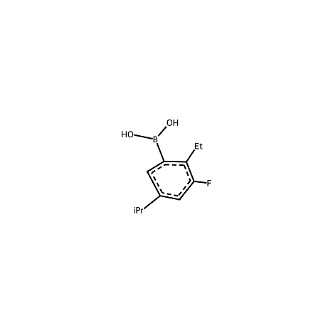 CCc1c(F)cc(C(C)C)cc1B(O)O